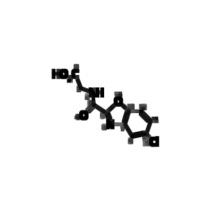 O=C(O)CNC(=O)c1nc2cc(Cl)ccc2o1